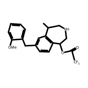 COc1ccccc1Cc1ccc2c(c1)C(C)CNCC2OC(=O)C(F)(F)F